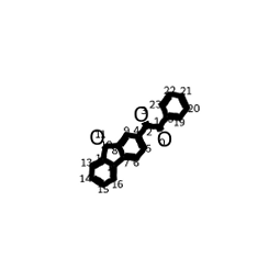 O=C(C(=O)c1ccc2c(c1)C(=O)c1ccccc1-2)c1ccccc1